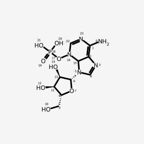 NC1=C2N=CN([C@@H]3O[C@H](CO)[C@@H](O)[C@H]3O)C2N(OP(=O)(O)O)C=N1